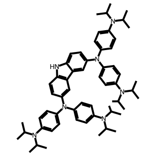 CC(C)N(c1ccc(N(c2ccc(N(C(C)C)C(C)C)cc2)c2ccc3[nH]c4ccc(N(c5ccc(N(C(C)C)C(C)C)cc5)c5ccc(N(C(C)C)C(C)C)cc5)cc4c3c2)cc1)C(C)C